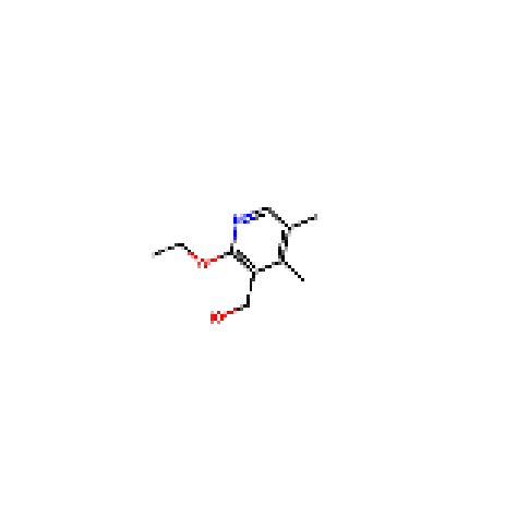 CCOc1ncc(C)c(C)c1CO